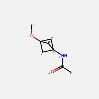 COC12CC(NC(C)=O)(C1)C2